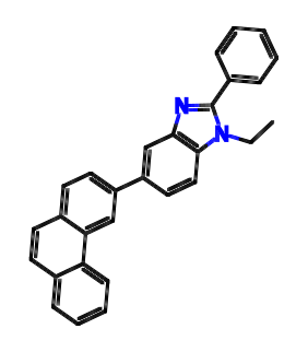 CCn1c(-c2ccccc2)nc2cc(-c3ccc4ccc5ccccc5c4c3)ccc21